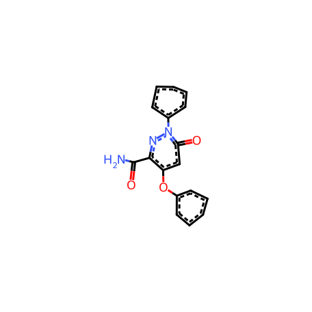 NC(=O)c1nn(-c2ccccc2)c(=O)cc1Oc1ccccc1